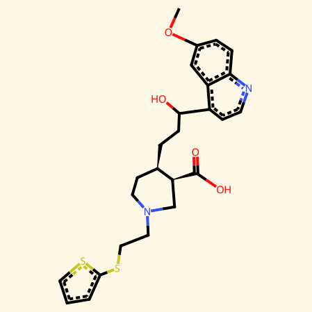 COc1ccc2nccc(C(O)CC[C@@H]3CCN(CCSc4cccs4)C[C@@H]3C(=O)O)c2c1